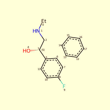 CCNC[C@@H](O)c1ccc(F)cc1.c1ccccc1